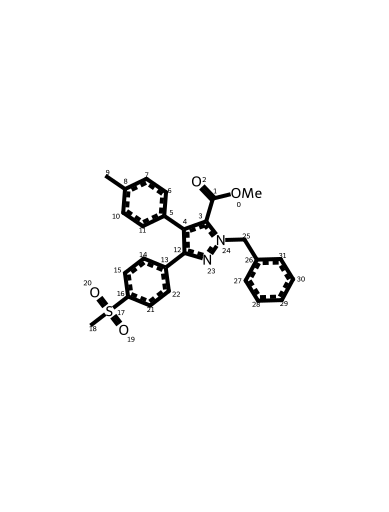 COC(=O)c1c(-c2ccc(C)cc2)c(-c2ccc(S(C)(=O)=O)cc2)nn1Cc1ccccc1